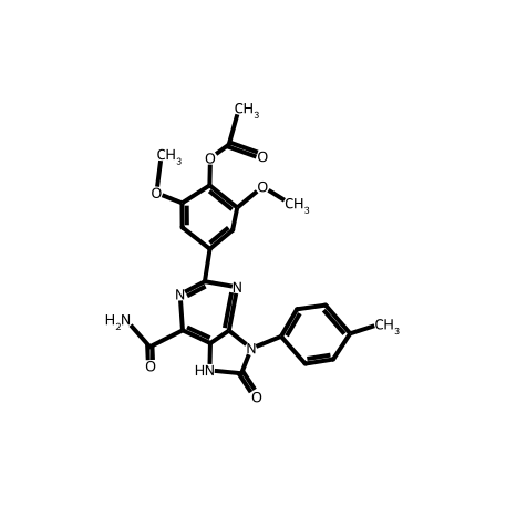 COc1cc(-c2nc(C(N)=O)c3[nH]c(=O)n(-c4ccc(C)cc4)c3n2)cc(OC)c1OC(C)=O